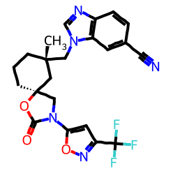 C[C@]1(Cn2cnc3ccc(C#N)cc32)CCC[C@@]2(CN(c3cc(C(F)(F)F)no3)C(=O)O2)C1